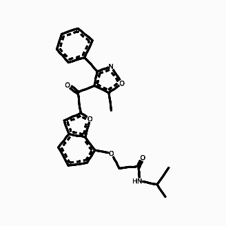 Cc1onc(-c2ccccc2)c1C(=O)c1cc2cccc(OCC(=O)NC(C)C)c2o1